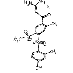 Cc1ccc(S(=O)(=O)c2cc(C)c(C(=O)N=C(N)N)cc2S(C)(=O)=O)c(C)c1